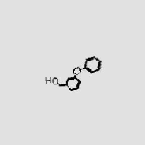 OC=C1C=C(Oc2ccccc2)C=CC1